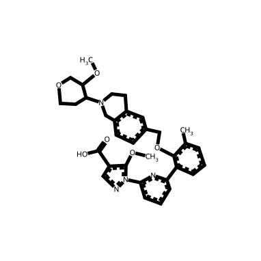 COc1c(C(=O)O)cnn1-c1cccc(-c2cccc(C)c2OCc2ccc3c(c2)CCN(C2CCOCC2OC)C3)n1